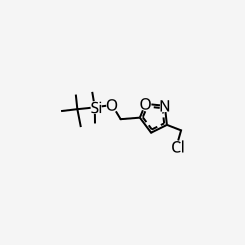 CC(C)(C)[Si](C)(C)OCc1cc(CCl)no1